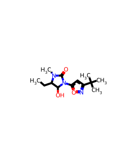 CCC1C(O)N(c2cc(C(C)(C)C)no2)C(=O)N1C